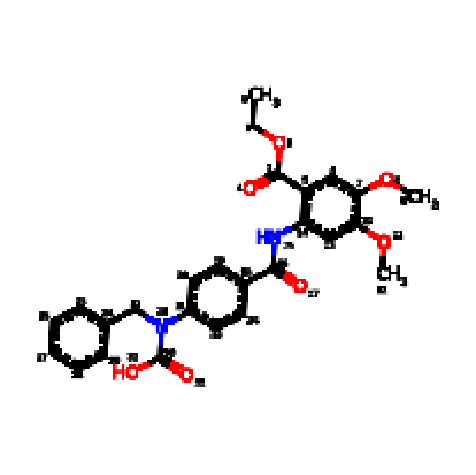 CCOC(=O)c1cc(OC)c(OC)cc1NC(=O)c1ccc(N(Cc2ccccc2)C(=O)O)cc1